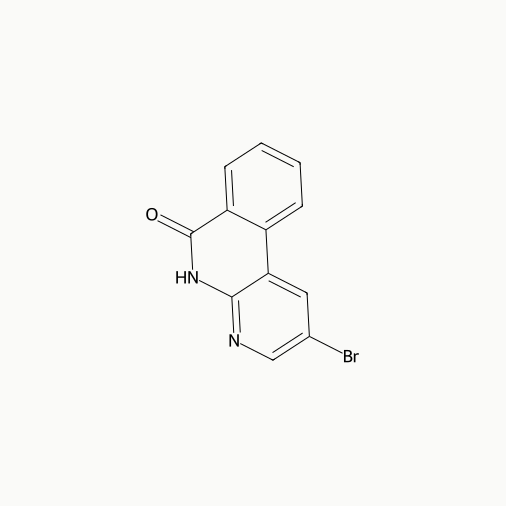 O=c1[nH]c2ncc(Br)cc2c2ccccc12